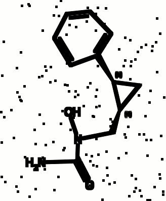 NC(=O)N(O)C[C@@H]1C[C@@H]1c1ccccc1